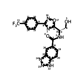 O=C(N[C@@H](CO)c1nc(-c2ccc(C(F)(F)F)cc2)no1)c1ccc2[nH]nnc2c1